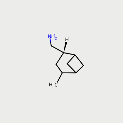 CC1C[C@H](CN)C2CC1C2